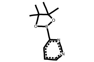 CC1(C)OB(c2cccnn2)OC1(C)C